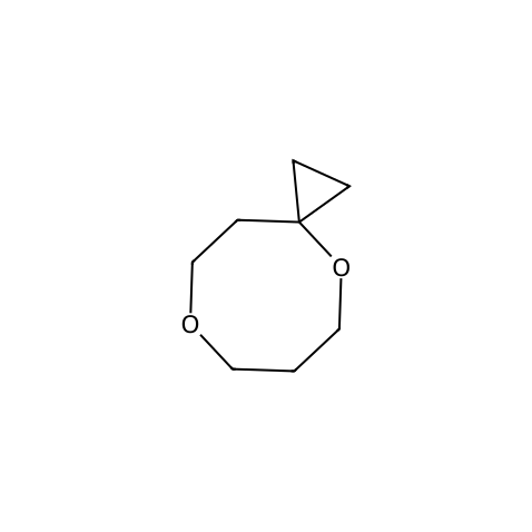 C1COCCC2(CC2)OC1